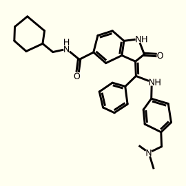 CN(C)Cc1ccc(N/C(=C2\C(=O)Nc3ccc(C(=O)NCC4CCCCC4)cc32)c2ccccc2)cc1